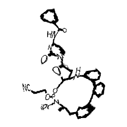 CC(C)N1C(C)Cc2cccc(c2)-c2ccccc2-c2ccccc2NC2C[C@H](n3ccc(NC(=O)c4ccccc4)nc3=O)OC2COP1OCCC#N